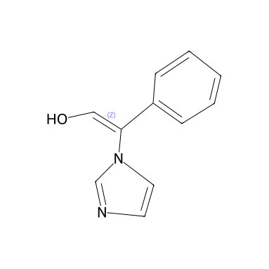 O/C=C(/c1ccccc1)n1ccnc1